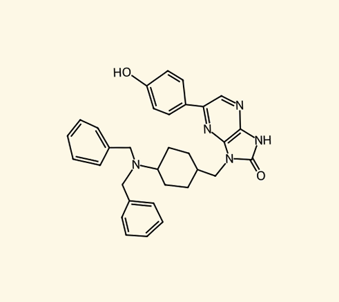 O=c1[nH]c2ncc(-c3ccc(O)cc3)nc2n1CC1CCC(N(Cc2ccccc2)Cc2ccccc2)CC1